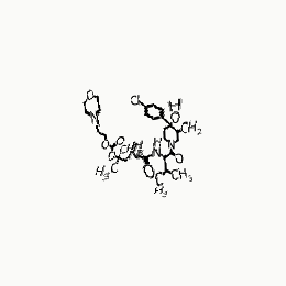 C=C1CN(C(=O)[C@H](NC(=O)NCC(C)(C)OC(=O)OCCN2CCOCC2)C(C)C)CC[C@]1(O)c1ccc(Cl)cc1